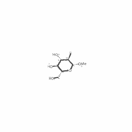 CO[C@@H]1O[C@H](CO)[C@@H](O)[C@H](O)[C@H]1C